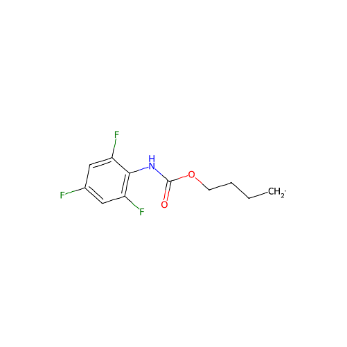 [CH2]CCCOC(=O)Nc1c(F)cc(F)cc1F